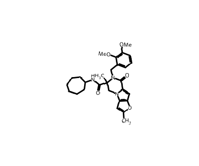 COc1cccc(CN2C(=O)c3cc4oc(C)cc4n3CC2(C)C(=O)NC2CCCCCC2)c1OC